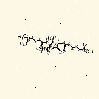 CCC(NC(=O)CCCN(C)C)(Nc1ccc(OCCCC(=O)O)cc1)C(N)=O